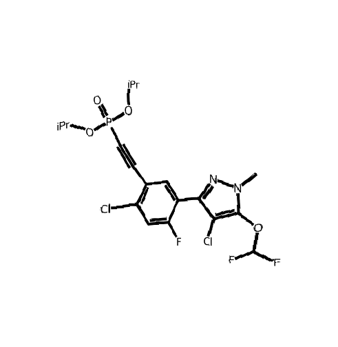 CC(C)OP(=O)(C#Cc1cc(-c2nn(C)c(OC(F)F)c2Cl)c(F)cc1Cl)OC(C)C